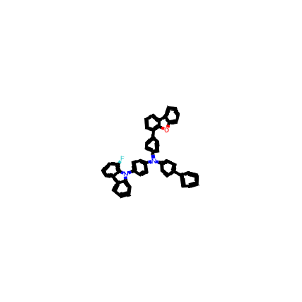 Fc1cccc2c3ccccc3n(-c3ccc(N(c4ccc(-c5ccccc5)cc4)c4ccc(-c5cccc6c5oc5ccccc56)cc4)cc3)c12